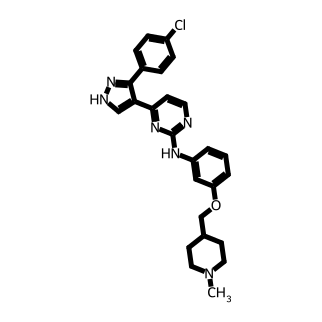 CN1CCC(COc2cccc(Nc3nccc(-c4c[nH]nc4-c4ccc(Cl)cc4)n3)c2)CC1